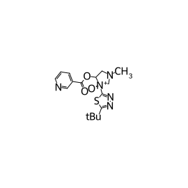 CN1CC(OC(=O)c2cccnc2)[N+]([O-])(c2nnc(C(C)(C)C)s2)C1